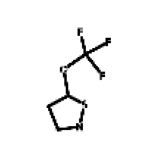 FC(F)(F)OC1C[CH]NS1